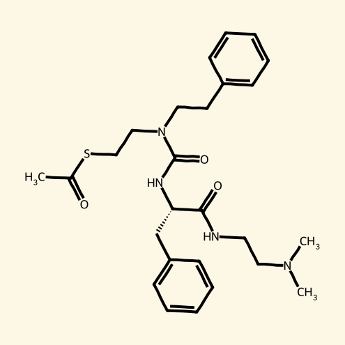 CC(=O)SCCN(CCc1ccccc1)C(=O)N[C@@H](Cc1ccccc1)C(=O)NCCN(C)C